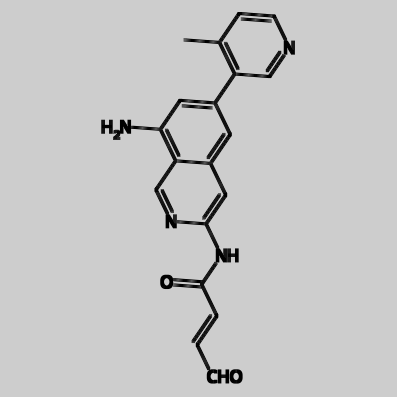 Cc1ccncc1-c1cc(N)c2cnc(NC(=O)/C=C/C=O)cc2c1